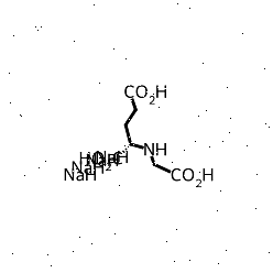 O=C(O)CC[C@H](NCC(=O)O)C(=O)O.[NaH].[NaH].[NaH].[NaH]